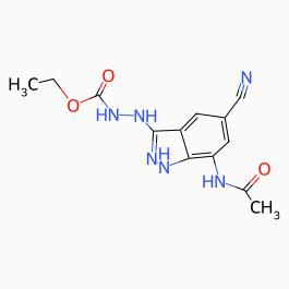 CCOC(=O)NNc1n[nH]c2c(NC(C)=O)cc(C#N)cc12